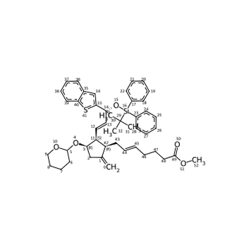 C=C1C[C@@H](OC2CCCCO2)[C@@H](C=C[C@@H](O[Si](c2ccccc2)(c2ccccc2)C(C)(C)C)c2cc3ccccc3s2)[C@H]1CC=CCCCC(=O)OC